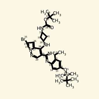 CCc1cc(O[Si](C)(C)C(C)(C)C)ccc1/N=C(\N)c1cnn2cc(Br)cc2c1N[C@H]1C[C@@H](NC(=O)OC(C)(C)C)C1